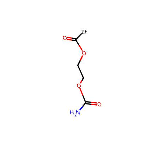 CCC(=O)OCCOC(N)=O